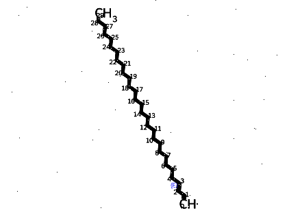 [CH]=C/C=C/CCCCCCCCCCCCCCCCCCCCCCCCCC